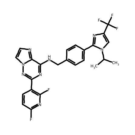 CC(C)n1cc(C(F)(F)F)nc1-c1ccc(CNc2nc(-c3ccc(F)nc3F)nn3ccnc23)cc1